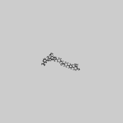 CC(C)Oc1cc2nc(C3CCN(CC(=O)N4CCC(c5ccc(C6CCC(=O)NC6=O)cc5)CC4)CC3)cn2cc1C(=O)Nc1cccc(C(F)F)n1